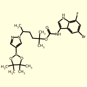 CC(CCC(C)(C)OC(=O)Nc1c[nH]c2c(F)cc(Br)cc12)n1cc(B2OC(C)(C)C(C)(C)O2)cn1